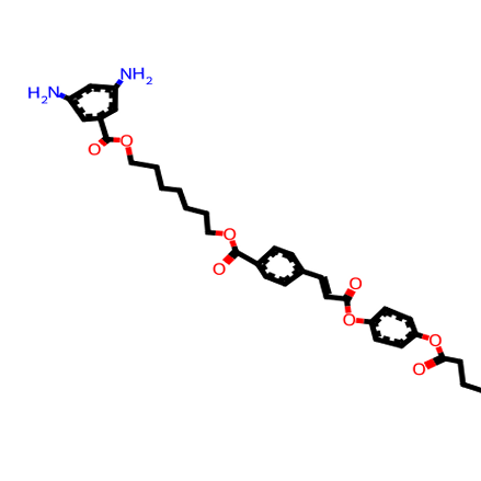 CCCCC(=O)Oc1ccc(OC(=O)C=Cc2ccc(C(=O)OCCCCCCCOC(=O)c3cc(N)cc(N)c3)cc2)cc1